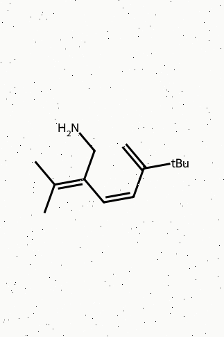 C=C(/C=C\C(CN)=C(C)C)C(C)(C)C